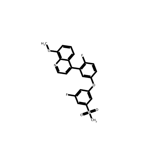 COc1cccc2c(-c3cc(Oc4cc(F)cc(S(C)(=O)=O)c4)ccc3F)ccnc12